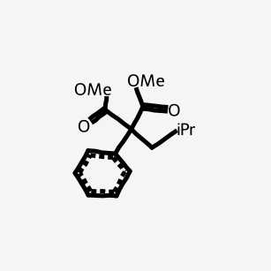 COC(=O)C(CC(C)C)(C(=O)OC)c1ccccc1